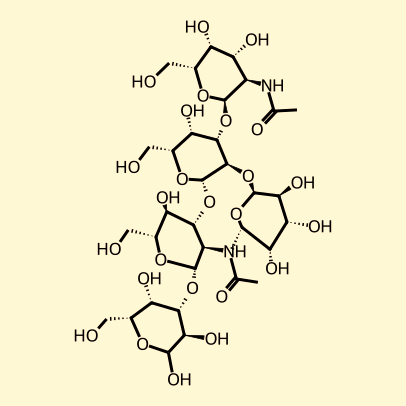 CC(=O)N[C@H]1[C@@H](O[C@H]2[C@@H](O)[C@@H](CO)O[C@@H](O[C@H]3[C@H](O)[C@@H](CO)O[C@@H](O[C@H]4[C@@H](O)[C@@H](CO)OC(O)[C@@H]4O)[C@@H]3NC(C)=O)[C@@H]2O[C@@H]2O[C@@H](C)[C@@H](O)[C@@H](O)[C@@H]2O)O[C@H](CO)[C@H](O)[C@@H]1O